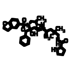 CC(C)CN(C(O)(CCNC(=O)CC(C)(C)CNC(=O)C1CCCN1)Cc1ccccc1)S(=O)(=O)c1ccc2c(c1)CCO2